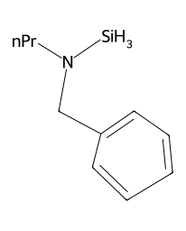 CCCN([SiH3])Cc1ccccc1